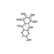 O=C(c1ccc(O)cc1O)c1cc(O)c(O)c(O)c1O